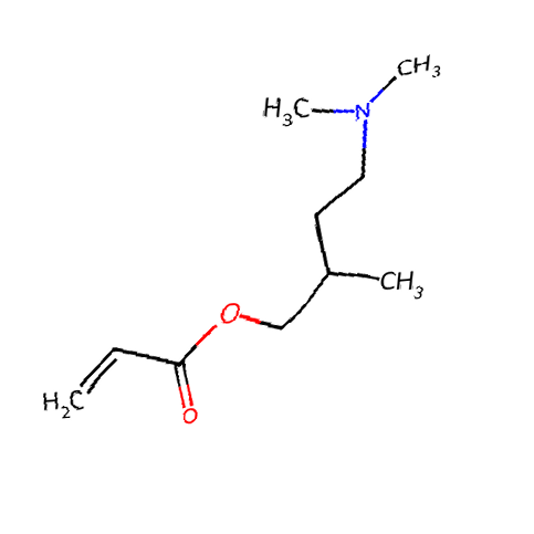 C=CC(=O)OCC(C)CCN(C)C